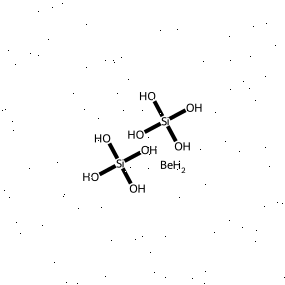 O[Si](O)(O)O.O[Si](O)(O)O.[BeH2]